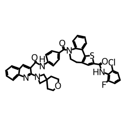 O=C(Nc1c(F)cccc1Cl)c1cc2c(s1)-c1ccccc1N(C(=O)c1ccc(NC(=O)c3cc4ccccc4nc3N3CC4(CCOCC4)C3)cc1)CC2